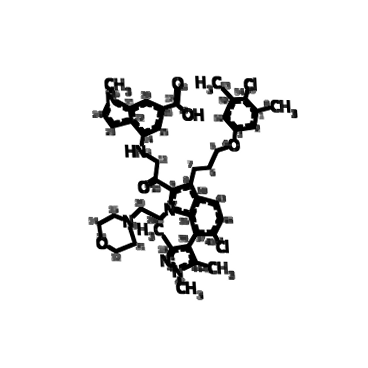 Cc1cc(OCCCc2c(C(=O)CNc3cc(C(=O)O)cc4c3ccn4C)n(CCN3CCOCC3)c3c(-c4c(C)nn(C)c4C)c(Cl)ccc23)cc(C)c1Cl